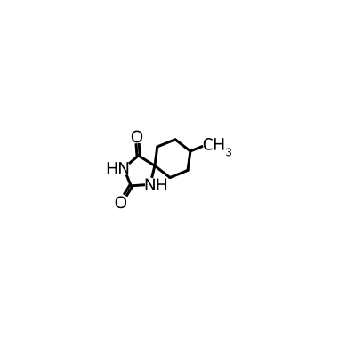 CC1CCC2(CC1)NC(=O)NC2=O